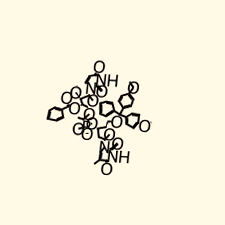 COc1ccc(C(OC[C@H]2O[C@@H](n3cc(C)c(=O)[nH]c3=O)C[C@@H]2OP(=O)(OC)C(C)O[C@H]2O[C@@H](n3ccc(=O)[nH]c3=O)[C@H](OC)[C@@H]2OC(=O)c2ccccc2)(c2ccccc2)c2ccc(OC)cc2)cc1